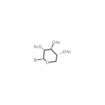 CC(=O)O[C@@H]1[C@@H](OC(C)=O)[C@H](OC(C)=O)CO[C@H]1Br